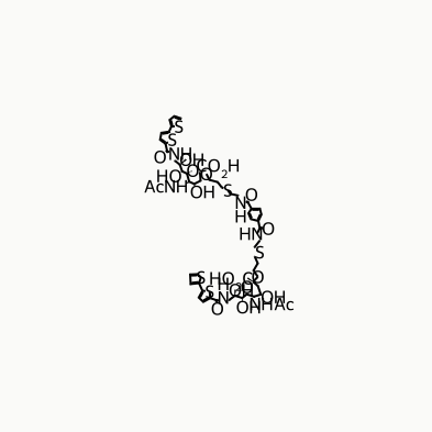 CC(=O)N[C@H]1[C@H]([C@H](O)[C@H](O)CNC(=O)c2ccc(-c3cccs3)s2)O[C@@](OCCCSCCNC(=O)c2ccc(C(=O)NCCSCCCO[C@]3(C(=O)O)C[C@H](O)[C@@H](NC(C)=O)[C@H]([C@H](O)[C@H](O)CNC(=O)c4ccc(-c5cccs5)s4)O3)cc2)(C(=O)O)C[C@@H]1O